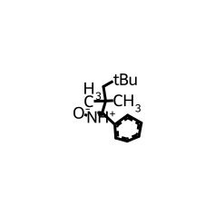 CC(C)(C)CC(C)(C)C(=[NH+][O-])c1ccccc1